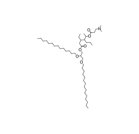 CCCCCCCCCCCCCCCOCC(COC(=O)CC(CC)C(CCC)C(C)OC(=O)CCN(C)C)OCCCCCCCCCCCCCC